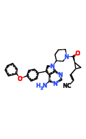 N#CC=CC1C[C@@H]1C(=O)N1CCCC(n2cc(-c3ccc(Oc4ccccc4)cc3)c3c(N)ncnc32)C1